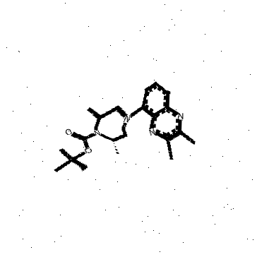 Cc1nc2cccc(N3CC(C)N(C(=O)OC(C)(C)C)[C@@H](C)C3)c2nc1C